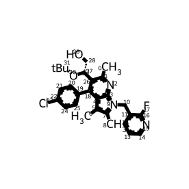 Cc1nc2c(c(C)c(C)n2Cc2cccnc2F)c(-c2ccc(Cl)cc2)c1[C@@H](CO)OC(C)(C)C